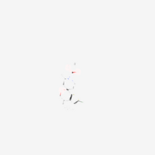 COC1COC2(CCN(C(=O)OC(C)(C)C)C(C)C2)c2sc(Cl)cc21